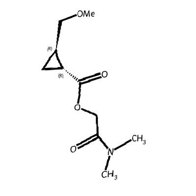 COC[C@@H]1C[C@H]1C(=O)OCC(=O)N(C)C